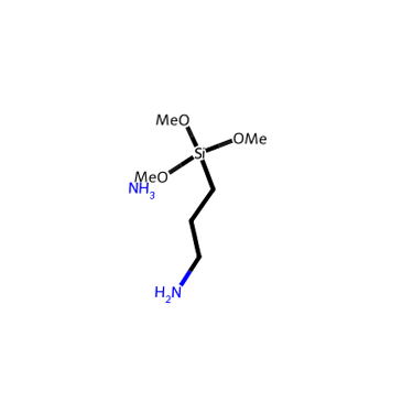 CO[Si](CCCN)(OC)OC.N